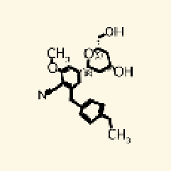 CCc1ccc(Cc2cc([C@H]3C[C@@H](O)C[C@@H](CO)O3)cc(OC)c2C#N)cc1